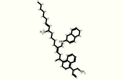 C=CC(CN)C1=c2ccccc2=C(C(C)C/C=C(/CCCCC(N)/C=C/CCCCCC)CNC2C=CC3CCC=CC3C2)CC1